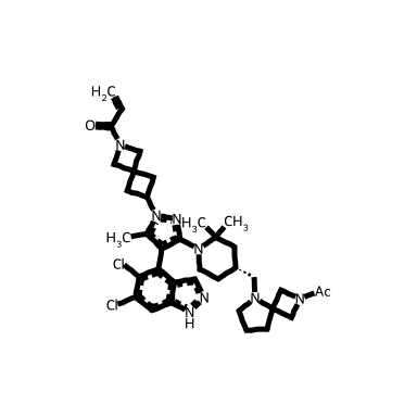 C=CC(=O)N1CC2(CC(n3nc(N4CC[C@@H](CN5CCCC56CN(C(C)=O)C6)CC4(C)C)c(-c4c(Cl)c(Cl)cc5[nH]ncc45)c3C)C2)C1